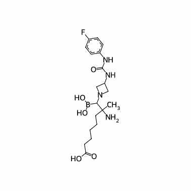 CC(N)(CCCCCC(=O)O)C(B(O)O)N1CC(NC(=O)Nc2ccc(F)cc2)C1